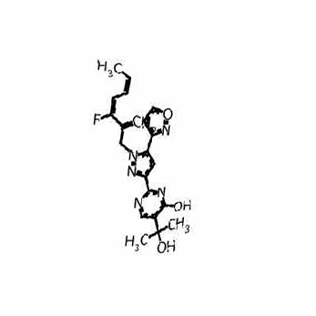 C=C(Cn1nc(-c2ncc(C(C)(C)O)c(O)n2)cc1-c1ccon1)/C(F)=C\C=C/C